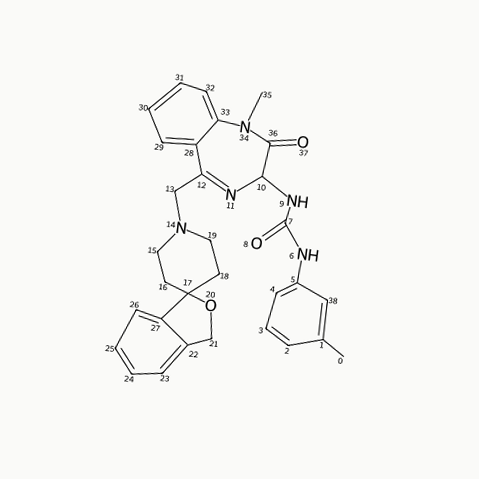 Cc1cccc(NC(=O)NC2N=C(CN3CCC4(CC3)OCc3ccccc34)c3ccccc3N(C)C2=O)c1